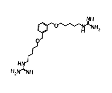 N=C(N)NCCCCCOCc1cccc(COCCCCCNC(=N)N)c1